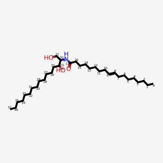 CCCCCCCCC=CCCCCCCCC(=O)NC(CO)C(O)CCCCCCCCCCCCC